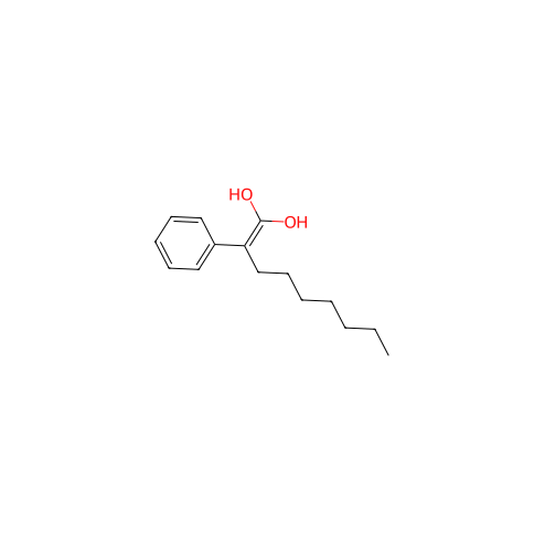 CCCCCCCC(=C(O)O)c1ccccc1